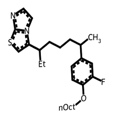 CCCCCCCCOc1ccc(C(C)CCCC(CC)c2csc3nccn23)cc1F